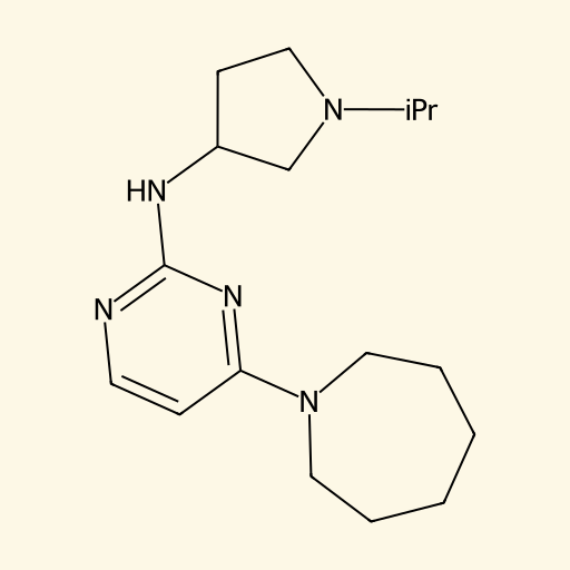 CC(C)N1CCC(Nc2nccc(N3CCCCCC3)n2)C1